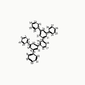 c1ccc(-c2cc(-c3ccccc3)cc(-c3cccc(-c4cc(-c5ccccc5)cc(-c5ccccc5)c4)c3)c2)cc1